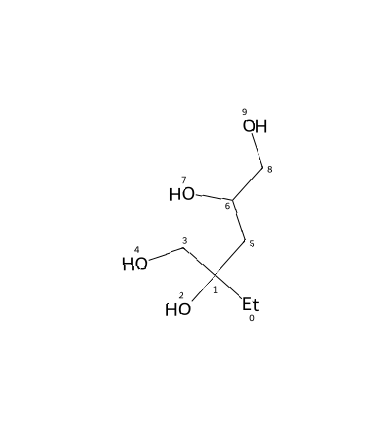 CCC(O)(CO)CC(O)CO